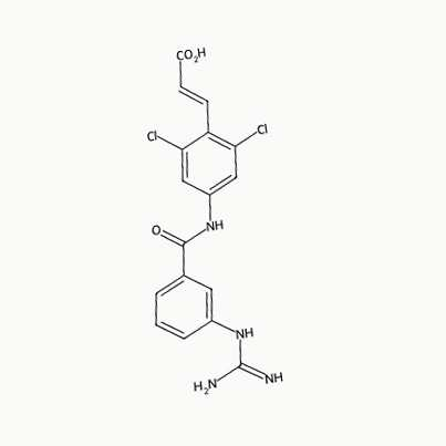 N=C(N)Nc1cccc(C(=O)Nc2cc(Cl)c(C=CC(=O)O)c(Cl)c2)c1